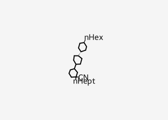 CCCCCCCC1(C#N)CCCC(C2CCC([C@H]3CC[C@H](CCCCCC)CC3)CC2)C1